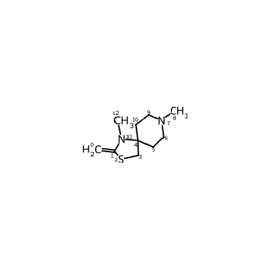 C=C1SCC2(CCN(C)CC2)N1C